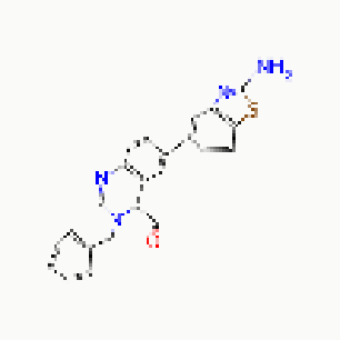 Nc1nc2cc(-c3ccc4c(c3)C(C=O)N(Cc3ccccc3)C=N4)ccc2s1